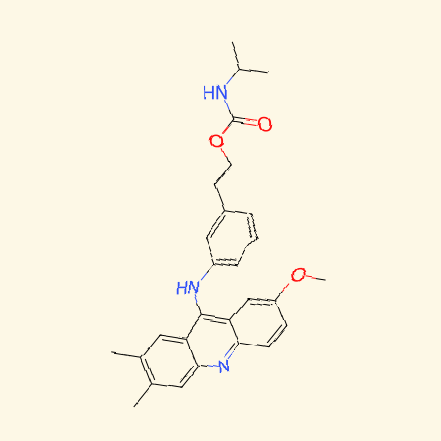 COc1ccc2nc3cc(C)c(C)cc3c(Nc3cccc(CCOC(=O)NC(C)C)c3)c2c1